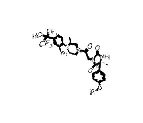 CCCc1cc(C(O)(C(F)(F)F)C(F)(F)F)ccc1N1CCN(C(=O)CN2C(=O)N[C@@](C)(c3ccc(OC(C)C)cc3)C2=O)CC1C